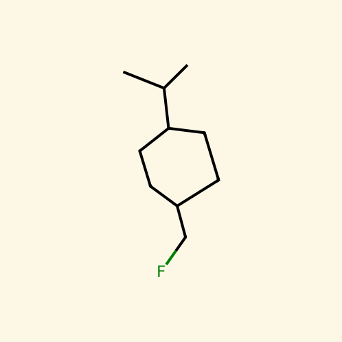 CC(C)C1CCC(CF)CC1